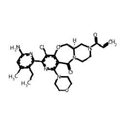 C=CC(=O)N1CCN2C(=O)c3c(N4CCOCC4)nc(-c4nc(N)cc(C)c4CC)c(Cl)c3OC[C@H]2C1